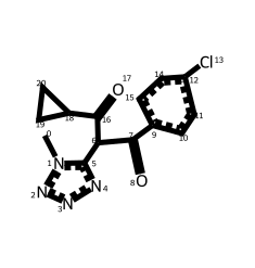 Cn1nnnc1C(C(=O)c1ccc(Cl)cc1)C(=O)C1CC1